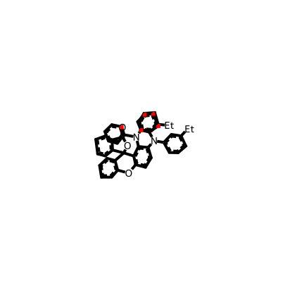 CCc1cccc(N(c2ccccc2)c2ccc3c(c2N(c2ccccc2)c2cccc(CC)c2)C2(OC(=O)c4ccccc42)c2ccccc2O3)c1